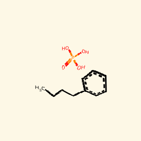 CCCCc1ccccc1.O=P(O)(O)O